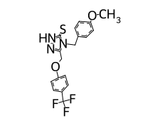 COc1ccc(Cn2c(COc3ccc(C(F)(F)F)cc3)n[nH]c2=S)cc1